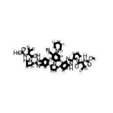 COC(=O)N[C@H](C(=O)N1CCC[C@H]1c1nc2cc([C@H]3CC[C@H](c4ccc5[nH]c([C@@H]6CCCN6C(=O)[C@@H](NC(=O)O)C(C)C)nc5c4)N3c3ccc(N4CCCCC4)c(C#N)c3)ccc2[nH]1)C(C)C